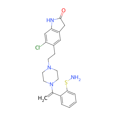 C=C(c1ccccc1SN)N1CCN(CCc2cc3c(cc2Cl)NC(=O)C3)CC1